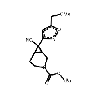 COCc1cc(C2(C#N)C3CCN(C(=O)OC(C)(C)C)CC32)no1